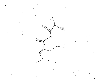 CC/C=C(\CCC)C(=O)NC(=O)C(C)N